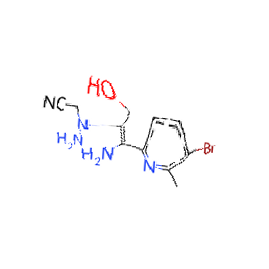 Cc1nc(/C(N)=C(\CO)N(N)CC#N)ccc1Br